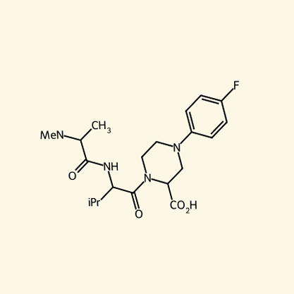 CNC(C)C(=O)NC(C(=O)N1CCN(c2ccc(F)cc2)CC1C(=O)O)C(C)C